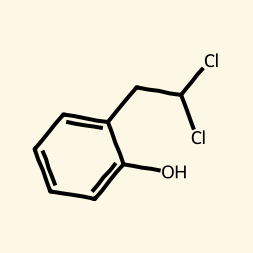 Oc1ccccc1CC(Cl)Cl